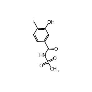 CS(=O)(=O)NC(=O)c1ccc(I)c(O)c1